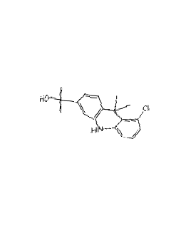 CC(C)(O)c1ccc2c(c1)Nc1cccc(Cl)c1C2(C)C